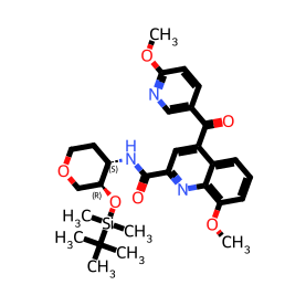 COc1ccc(C(=O)c2cc(C(=O)N[C@H]3CCOC[C@@H]3O[Si](C)(C)C(C)(C)C)nc3c(OC)cccc23)cn1